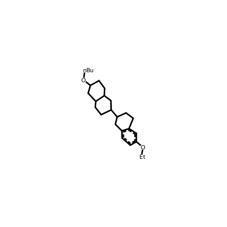 CCCCOC1CCC2CC(C3CCc4cc(OCC)ccc4C3)CCC2C1